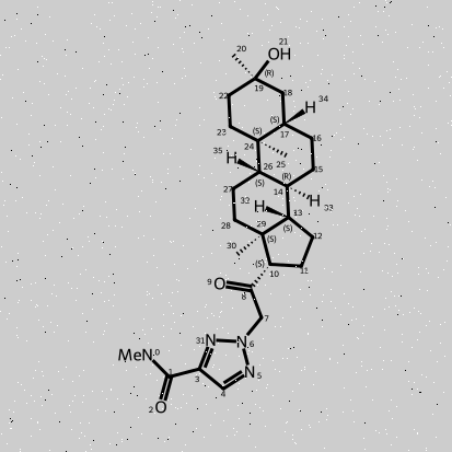 CNC(=O)c1cnn(CC(=O)[C@H]2CC[C@H]3[C@@H]4CC[C@H]5C[C@](C)(O)CC[C@]5(C)[C@H]4CC[C@]23C)n1